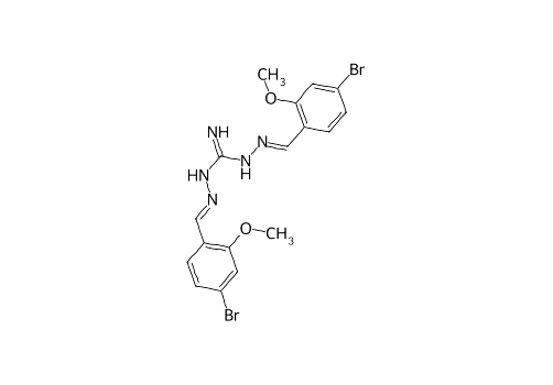 COc1cc(Br)ccc1C=NNC(=N)NN=Cc1ccc(Br)cc1OC